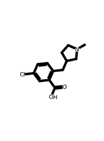 CN1CCC(Cc2ccc(Cl)cc2C(=O)O)C1